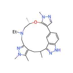 CCN1Cc2nn(C)c(C)c2CC(C)c2n[nH]c3ccc(cc23)-c2cnn(C)c2O[C@@H](C)C1